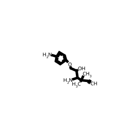 C#CC(C)(C)C(N)C(O)COc1ccc(N)cc1